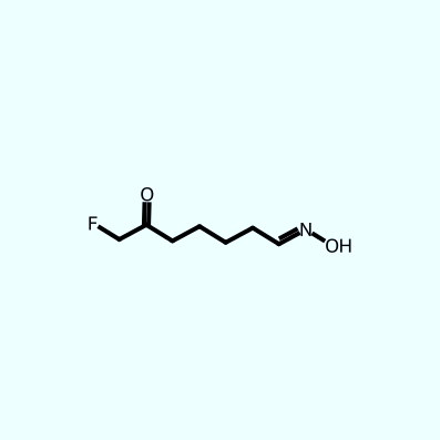 O=C(CF)CCCCC=NO